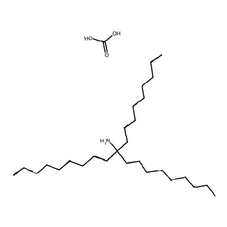 CCCCCCCCCC(N)(CCCCCCCCC)CCCCCCCCC.O=C(O)O